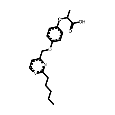 CCCCCc1nccc(COc2ccc(OC(C)C(=O)O)cc2)n1